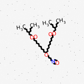 CCCCC(CCCC)CCOC(=O)CCCCCCCCCC(CCCCCCCCCC(=O)OCCC(CCCC)CCCC)OCCCCN1CCOCC1